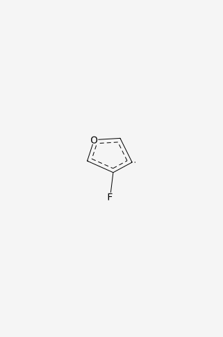 Fc1[c]coc1